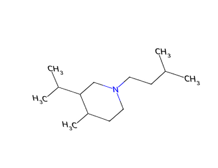 CC(C)CCN1CCC(C)C(C(C)C)C1